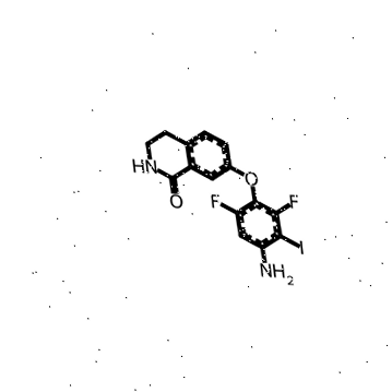 Nc1cc(F)c(Oc2ccc3c(c2)C(=O)NCC3)c(F)c1I